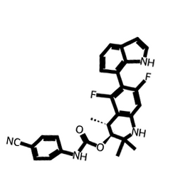 C[C@@H]1c2c(cc(F)c(-c3cccc4cc[nH]c34)c2F)NC(C)(C)[C@H]1OC(=O)Nc1ccc(C#N)cc1